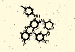 Cc1ccc(Nc2cc3nc4ccc(F)cc4n(-c4ccc(Cl)c(Cl)c4)c-3c/c2=N\C2CCOCC2)cn1